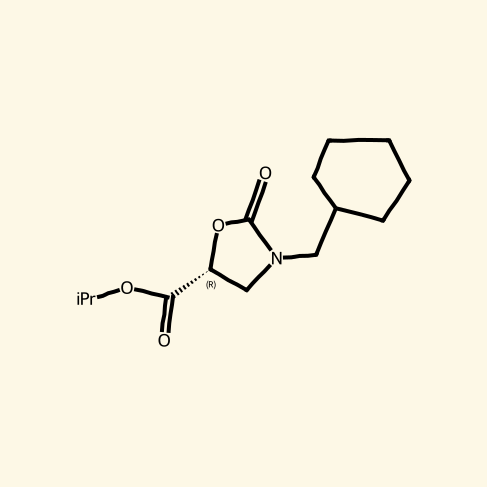 CC(C)OC(=O)[C@H]1CN(CC2CCCCC2)C(=O)O1